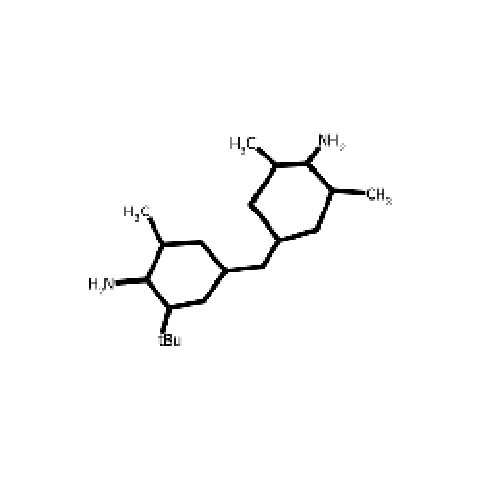 CC1CC(CC2CC(C)C(N)C(C(C)(C)C)C2)CC(C)C1N